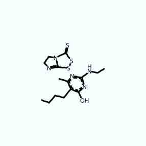 CCCCc1c(C)nc(NCC)nc1O.S=C1SSC2=NCCN12